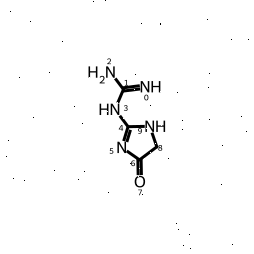 N=C(N)NC1=NC(=O)CN1